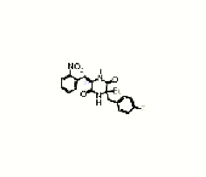 CCC1(Cc2ccc(F)cc2)NC(=O)/C(=C\c2ccccc2[N+](=O)[O-])N(C)C1=O